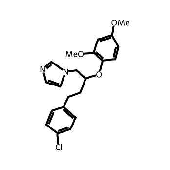 COc1ccc(OC(CCc2ccc(Cl)cc2)Cn2ccnc2)c(OC)c1